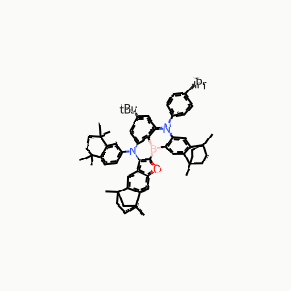 CC(C)c1ccc(N2c3cc4c(cc3B3c5oc6cc7c(cc6c5N(c5ccc6c(c5)C(C)(C)CCC6(C)C)c5cc(C(C)(C)C)cc2c53)C2(C)CCC7(C)C2)C2(C)CCC4(C)CC2)cc1